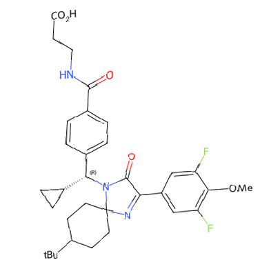 COc1c(F)cc(C2=NC3(CCC(C(C)(C)C)CC3)N([C@@H](c3ccc(C(=O)NCCC(=O)O)cc3)C3CC3)C2=O)cc1F